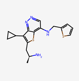 C[C@H](N)Cc1sc2c(NCc3cccs3)cnnc2c1C1CC1